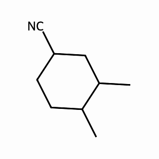 CC1CCC(C#N)CC1C